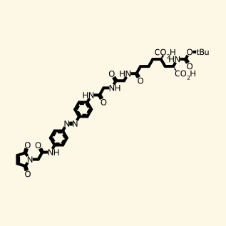 CC(C)(C)OC(=O)N[C@@H](C[C@@H](CCCC(=O)NCC(=O)NCC(=O)Nc1ccc(/N=N/c2ccc(NC(=O)CN3C(=O)C=CC3=O)cc2)cc1)C(=O)O)C(=O)O